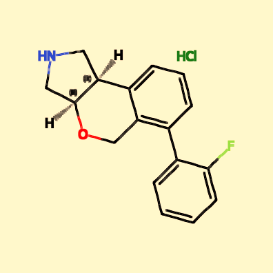 Cl.Fc1ccccc1-c1cccc2c1CO[C@H]1CNC[C@@H]21